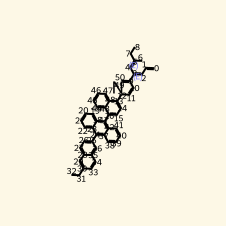 C=C/C=C(\C=C(/C)CC)c1ccc(-c2ccc(-c3c4ccccc4c(-c4ccc5cc(CC)ccc5c4)c4ccccc34)c3ccccc23)nc1